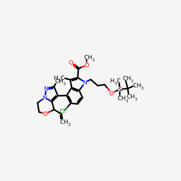 C=CC1OCCn2nc(C)c(-c3c(Cl)ccc4c3c(C)c(C(=O)OC)n4CCCO[Si](C)(C)C(C)(C)C)c21